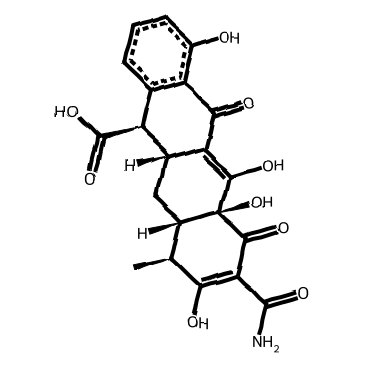 C[C@@H]1C(O)=C(C(N)=O)C(=O)[C@@]2(O)C(O)=C3C(=O)c4c(O)cccc4[C@H](C(=O)O)[C@H]3C[C@@H]12